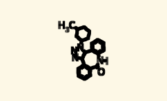 CC1CCCC(N2N=NC3c4ccccc4C(=O)N(I)c4ccccc4C32)C1